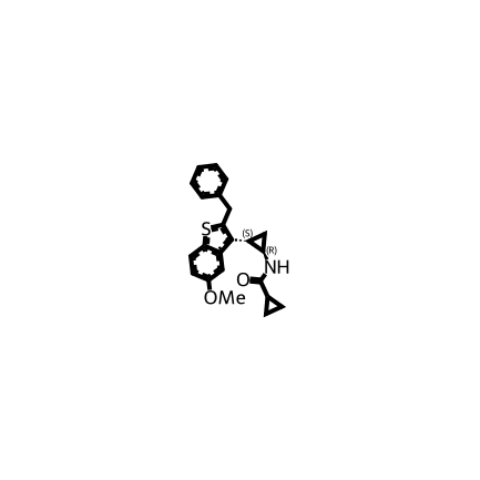 COc1ccc2sc(Cc3ccccc3)c([C@@H]3C[C@H]3NC(=O)C3CC3)c2c1